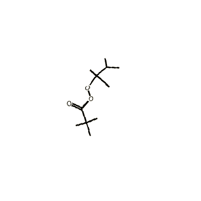 CC(C)C(C)(C)OOC(=O)C(C)(C)C